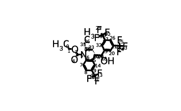 CCOC(=O)N1c2ccc(C(F)(F)F)cc2[C@@H]([C@@H](O)c2cc(C(F)(F)F)cc(C(F)(F)F)c2)C[C@H]1CC